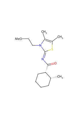 COCCn1c(C)c(C)s/c1=N\C(=O)[C@H]1CCCC[C@H]1C